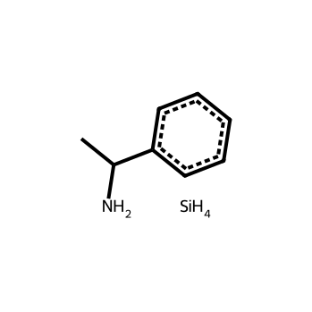 CC(N)c1ccccc1.[SiH4]